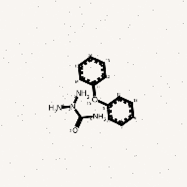 NC(=O)N(N)N.c1ccc(Oc2ccccc2)cc1